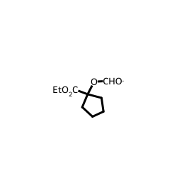 CCOC(=O)C1(O[C]=O)CCCC1